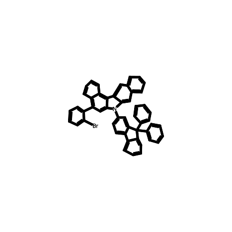 Brc1ccccc1-c1cc2c(c3ccccc13)c1cc3ccccc3cc1n2-c1ccc2c(c1)C(c1ccccc1)(c1ccccc1)c1ccccc1-2